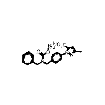 Cc1cc(C(=O)O)n(-c2ccc(CN(Cc3ccccc3)C(=O)OC(C)(C)C)cc2)n1